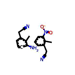 Cc1c(CC#N)cccc1[N+](=O)[O-].Cc1c(N)cccc1CC#N